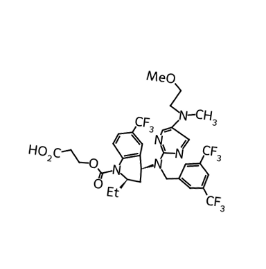 CC[C@@H]1C[C@H](N(Cc2cc(C(F)(F)F)cc(C(F)(F)F)c2)c2ncc(N(C)CCOC)cn2)c2cc(C(F)(F)F)ccc2N1C(=O)OCCC(=O)O